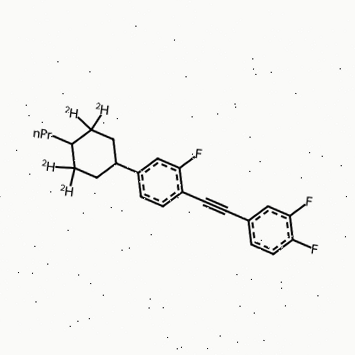 [2H]C1([2H])CC(c2ccc(C#Cc3ccc(F)c(F)c3)c(F)c2)CC([2H])([2H])C1CCC